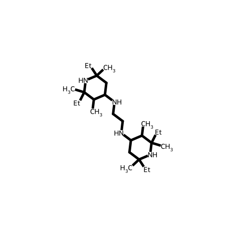 CCC1(C)CC(NCCNC2CC(C)(CC)NC(C)(CC)C2C)C(C)C(C)(CC)N1